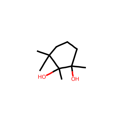 CC1(C)CCCC(C)(O)C1(C)O